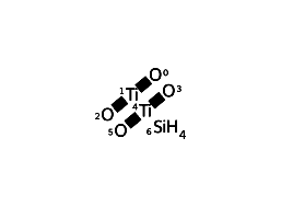 [O]=[Ti]=[O].[O]=[Ti]=[O].[SiH4]